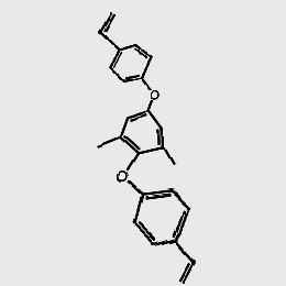 C=Cc1ccc(Oc2cc(C)c(Oc3ccc(C=C)cc3)c(C)c2)cc1